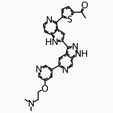 CC(=O)c1ccc(-c2nccc3[nH]c(-c4n[nH]c5cnc(-c6cncc(OCCN(C)C)c6)cc45)cc23)s1